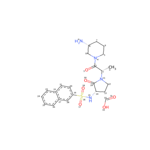 C[C@@H](C(=O)N1CCC[C@@H](N)C1)N1CC[C@H](NS(=O)(=O)c2ccc3ccccc3c2)C1=O.O=CO